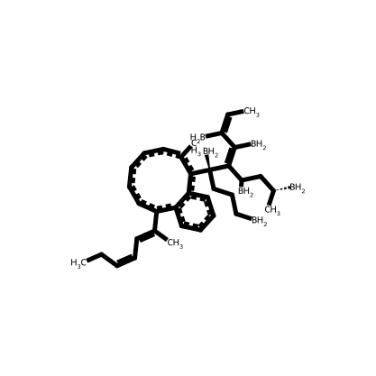 BCCC[C@@](B)(/C(=C(B)\C(B)=C/C)C(B)C[C@H](B)C)c1c(C)cccccc(/C(C)=C/C=C\CC)c2ccccc12